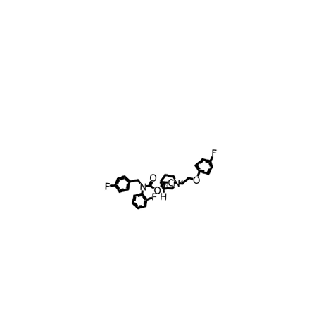 O=C(O[C@H]1C[N+]2(CCOc3ccc(F)cc3)CCC1CC2)N(Cc1ccc(F)cc1)c1ccccc1F